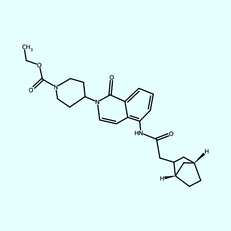 CCOC(=O)N1CCC(n2ccc3c(NC(=O)CC4C[C@@H]5CC[C@H]4C5)cccc3c2=O)CC1